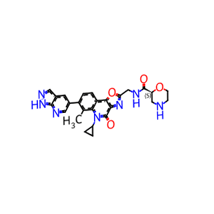 Cc1c(-c2cnc3[nH]ncc3c2)ccc2c3oc(CNC(=O)[C@@H]4CNCCO4)nc3c(=O)n(C3CC3)c12